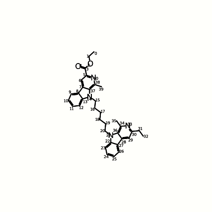 CCOC(=O)c1cc2c3ccccc3n(CCCCCCn3c4ccccc4c4cc(CC)nc(C)c43)c2c(C)n1